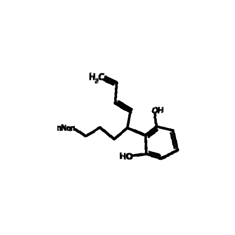 C=CC=CC(CCCCCCCCCCCC)c1c(O)cccc1O